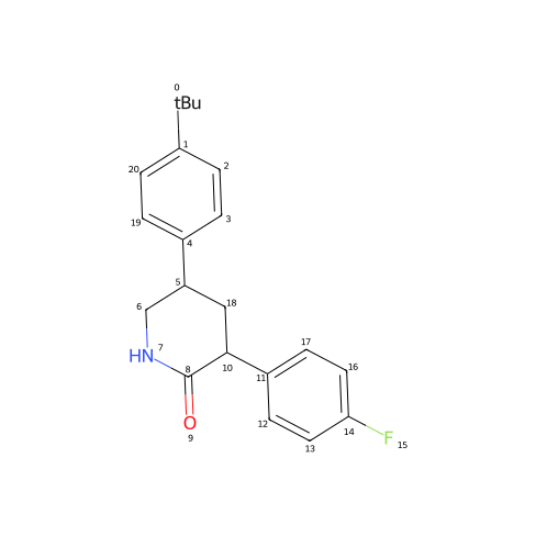 CC(C)(C)c1ccc(C2CNC(=O)C(c3ccc(F)cc3)C2)cc1